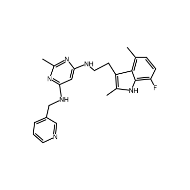 Cc1nc(NCCc2c(C)[nH]c3c(F)ccc(C)c23)cc(NCc2cccnc2)n1